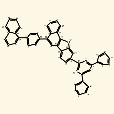 c1ccc(-c2nc(-c3ccccc3)nc(-c3ccc4c(c3)oc3c5ccccc5c(-c5ccc(-c6cccc7ccccc67)cc5)cc43)n2)cc1